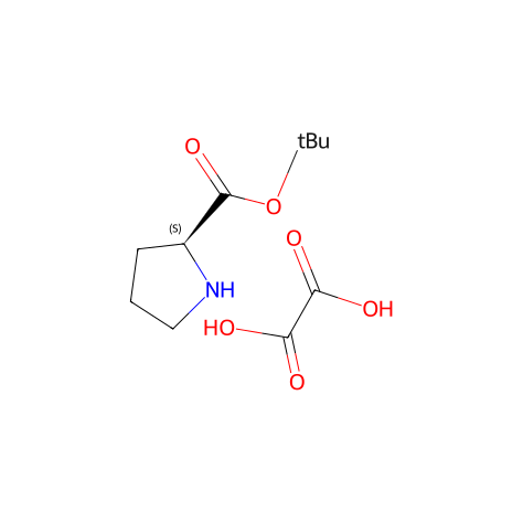 CC(C)(C)OC(=O)[C@@H]1CCCN1.O=C(O)C(=O)O